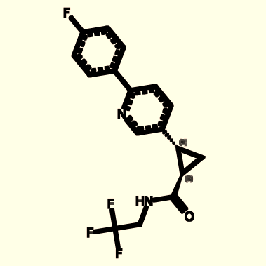 O=C(NCC(F)(F)F)[C@@H]1C[C@H]1c1ccc(-c2ccc(F)cc2)nc1